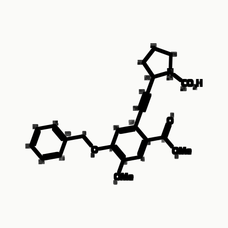 COC(=O)c1cc(OC)c(OCc2ccccc2)cc1C#CC1CCCN1C(=O)O